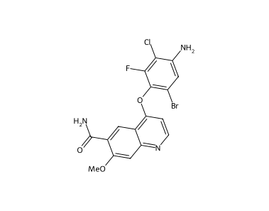 COc1cc2nccc(Oc3c(Br)cc(N)c(Cl)c3F)c2cc1C(N)=O